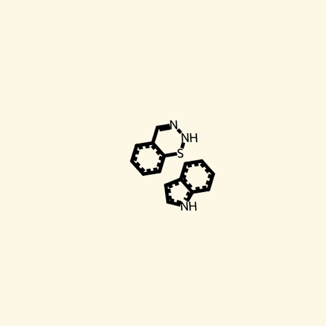 C1=NNSc2ccccc21.c1ccc2[nH]ccc2c1